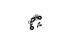 CCN(CC)CC.O=C(OCc1ccccc1)N1CCC(OS(=O)(=O)c2ccccc2)CC1